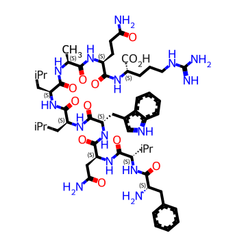 CC(C)C[C@H](NC(=O)[C@H](CC(C)C)NC(=O)[C@H](Cc1c[nH]c2ccccc12)NC(=O)[C@H](CC(N)=O)NC(=O)[C@@H](NC(=O)[C@@H](N)Cc1ccccc1)C(C)C)C(=O)N[C@@H](C)C(=O)N[C@@H](CCC(N)=O)C(=O)N[C@@H](CCCNC(=N)N)C(=O)O